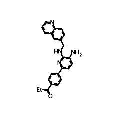 CCC(=O)c1ccc(-c2ccc(N)c(NCc3ccc4ncccc4c3)n2)cc1